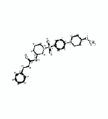 COC1CCN(c2ccc(S(=O)(=O)N3CCCC(NC(=O)CCc4ccccc4)C3)cc2)CC1